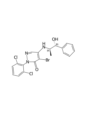 C[C@@H](Nc1cnn(-c2c(Cl)cccc2Cl)c(=O)c1Br)[C@H](O)c1ccccc1